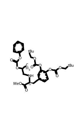 COC(=O)[C@H](Cc1ccc(OC(=O)OCC(C)(C)C)c(OC(=O)OCC(C)(C)C)c1)NCC(C)OC(=O)Oc1ccccc1